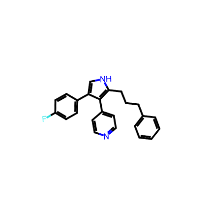 Fc1ccc(-c2c[nH]c(CCCc3ccccc3)c2-c2ccncc2)cc1